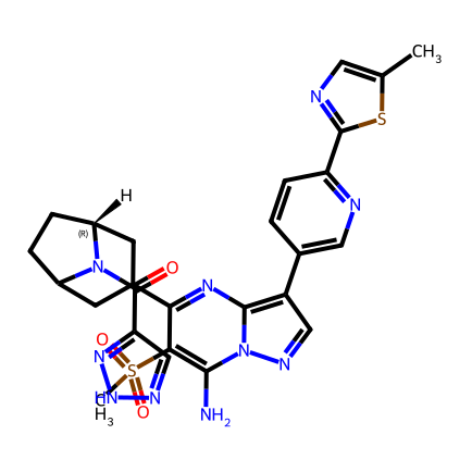 Cc1cnc(-c2ccc(-c3cnn4c(N)c(S(C)(=O)=O)c(C5CC6CC[C@H](C5)N6C(=O)c5cn[nH]n5)nc34)cn2)s1